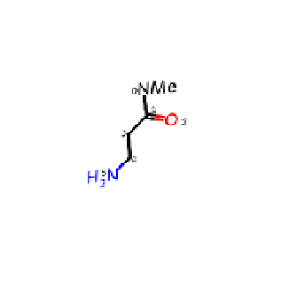 [CH2]NC(=O)CCN